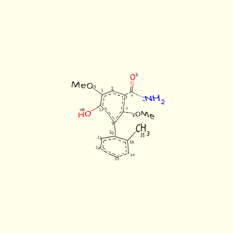 COc1cc(C(N)=O)c(OC)c(-c2ccccc2C)c1O